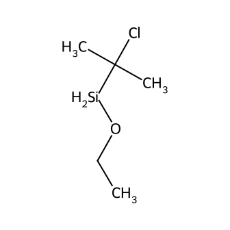 CCO[SiH2]C(C)(C)Cl